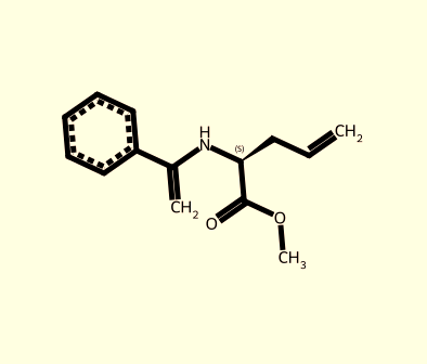 C=CC[C@H](NC(=C)c1ccccc1)C(=O)OC